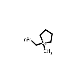 CCC[CH2][Sn]1([CH3])[CH2]CC[CH2]1